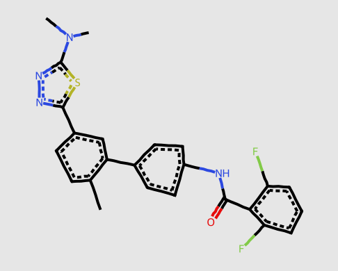 Cc1ccc(-c2nnc(N(C)C)s2)cc1-c1ccc(NC(=O)c2c(F)cccc2F)cc1